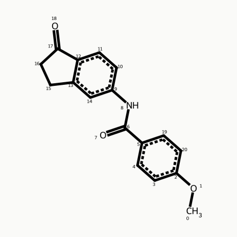 COc1ccc(C(=O)Nc2ccc3c(c2)CCC3=O)cc1